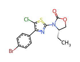 CC[C@H]1COC(=O)N1c1nc(-c2ccc(Br)cc2)c(Cl)s1